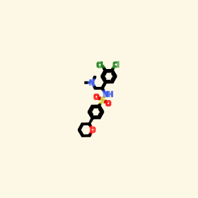 CN(C)CC(NS(=O)(=O)c1ccc([C@@H]2CCCCO2)cc1)c1ccc(Cl)c(Cl)c1